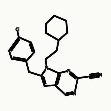 N#Cc1ncc2cc(Cc3ccc(Cl)cc3)n(CCC3CCCCC3)c2n1